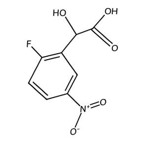 O=C(O)C(O)c1cc([N+](=O)[O-])ccc1F